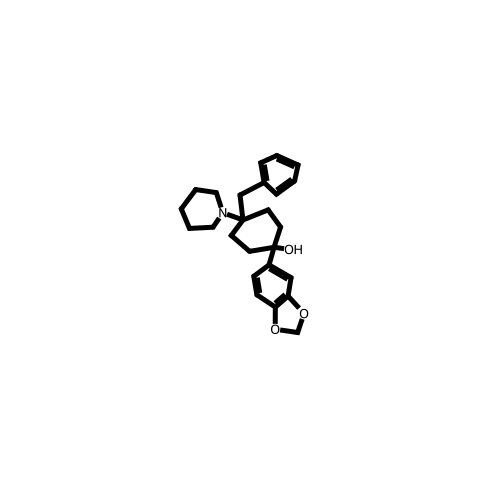 OC1(c2ccc3c(c2)OCO3)CCC(Cc2ccccc2)(N2CCCCC2)CC1